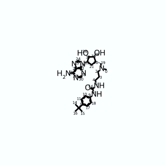 CN(CCCNC(=O)Nc1ccc(C(C)(C)C)cc1)C[C@@H]1C[C@@H](n2cnc3c(N)ncnc32)[C@H](O)[C@@H]1O